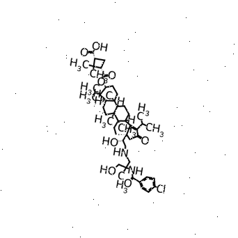 CC(C)C1=C2[C@H]3CC[C@@H]4[C@@]5(C)CC[C@H](OC(=O)[C@H]6C[C@@H](C(=O)O)C6(C)C)C(C)(C)[C@@H]5CC[C@@]4(C)[C@]3(C)CC[C@@]2([C@@H](O)CNCC(C)(CO)NC(=O)c2ccc(Cl)cc2)CC1=O